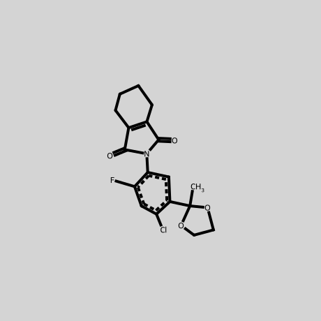 CC1(c2cc(N3C(=O)C4=C(CCCC4)C3=O)c(F)cc2Cl)OCCO1